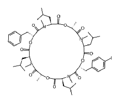 CC(C)CC1C(=O)O[C@H](Cc2ccc(I)cc2)C(=O)N(C)[C@@H](CC(C)C)C(=O)O[C@H](C)C(=O)N(C)[C@@H](CC(C)C)C(=O)O[C@H](Cc2ccccc2)C(=O)N(C)[C@@H](CC(C)C)C(=O)O[C@H](C)C(=O)N1C